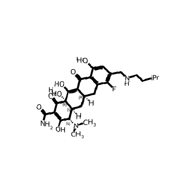 C=C1C(C(N)=O)=C(O)[C@@H](N(C)C)[C@@H]2C[C@@H]3Cc4c(F)c(CNCCC(C)C)cc(O)c4C(=O)C3=C(O)[C@]12O